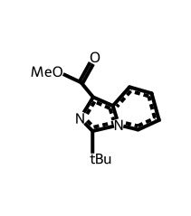 COC(=O)c1nc(C(C)(C)C)n2ccccc12